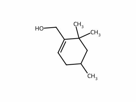 CC1CC=C(CO)C(C)(C)C1